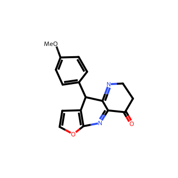 COc1ccc(C2C3=NCCC(=O)C3=Nc3occc32)cc1